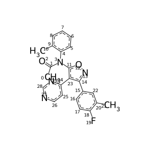 CC(=O)N(c1ccccc1C)c1onc(-c2ccc(F)c(C)c2)c1-c1ccncn1